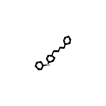 C(/C=C/c1ccc(Nc2ccccc2)cc1)=C\c1ccccc1